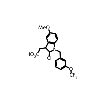 COc1ccc2c(c1)C(CC(=O)O)C(Cl)N2Cc1cccc(OC(F)(F)F)c1